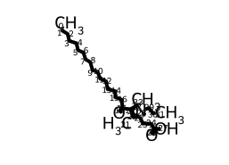 CCCCCCCCCCCCCCCCCC(=O)c1c(C)c(CCC(=O)O)n(CCC)c1C